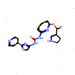 CCC(Oc1cccc(NC(=O)Nc2csc(-c3ccncc3)n2)n1)C1CCNC1